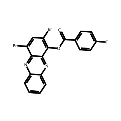 O=C(Oc1c(Br)cc(Br)c2nc3ccccc3nc12)c1ccc(F)cc1